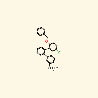 CCOC(=O)c1cccc(-c2ccccc2-c2cc(Cl)ccc2OCc2ccccc2)c1